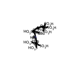 CC(C)(C)OC(=O)NCCOc1c(OCCCC/C(=C/NCCCNC(=O)c2cc(OCCCS(=O)(=O)O)c(OCCCS(=O)(=O)O)c(OCCCS(=O)(=O)O)c2)N=N)cc(C(=O)O)cc1OCCCCc1cn(CCCNC(=O)c2cc(OCCCS(=O)(=O)O)c(OCCCS(=O)(=O)O)c(OCCCS(=O)(=O)O)c2)nn1